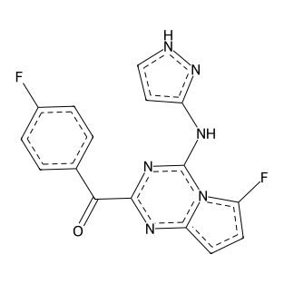 O=C(c1ccc(F)cc1)c1nc(Nc2cc[nH]n2)n2c(F)ccc2n1